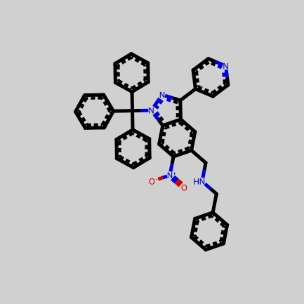 O=[N+]([O-])c1cc2c(cc1CNCc1ccccc1)c(-c1ccncc1)nn2C(c1ccccc1)(c1ccccc1)c1ccccc1